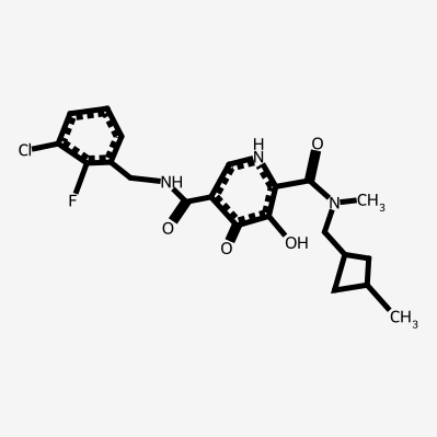 CC1CC(CN(C)C(=O)c2[nH]cc(C(=O)NCc3cccc(Cl)c3F)c(=O)c2O)C1